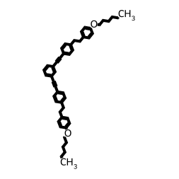 CCCCCCOc1ccc(CCc2ccc(C#Cc3cccc(C#Cc4ccc(CCc5ccc(OCCCCCC)cc5)cc4)c3)cc2)cc1